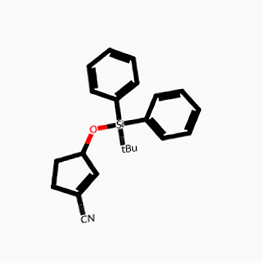 CC(C)(C)[Si](OC1C=C(C#N)CC1)(c1ccccc1)c1ccccc1